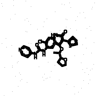 CC(Oc1c(-c2cccs2)c(=O)[nH]c2cc(Cl)c(NC(=O)Nc3ccncc3)cc12)C1CCCO1